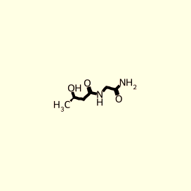 C[C@@H](O)CC(=O)NCC(N)=O